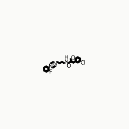 O=C(NCCCCN1CCN(c2ccccc2F)CC1)C1=Cc2cc(Cl)ccc2OC1